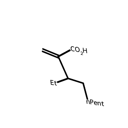 C=C(C(=O)O)C(CC)CCCCCC